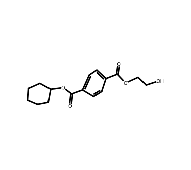 O=C(OCCO)c1ccc(C(=O)OC2CCCCC2)cc1